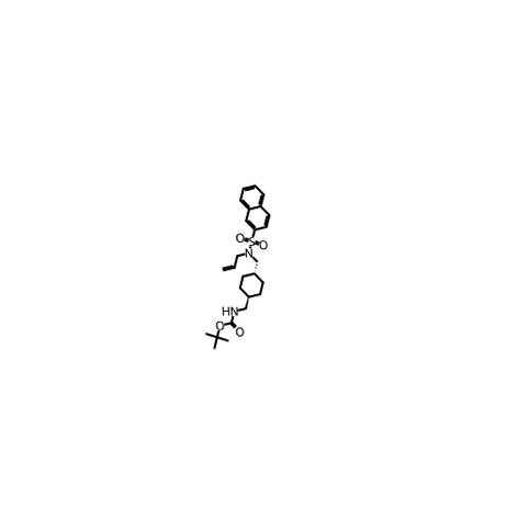 C=CCN(C[C@H]1CC[C@H](CNC(=O)OC(C)(C)C)CC1)S(=O)(=O)c1ccc2ccccc2c1